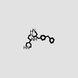 N#CC/C(Cc1ccc(Cc2ccccc2)cc1)=C1\NCCC(C2CCNCC2)N1